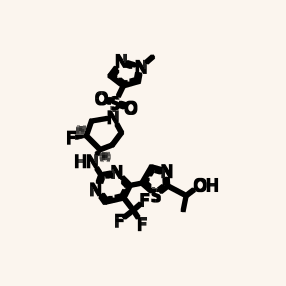 CC(O)c1ncc(-c2nc(N[C@@H]3CCN(S(=O)(=O)c4cnn(C)c4)C[C@@H]3F)ncc2C(F)(F)F)s1